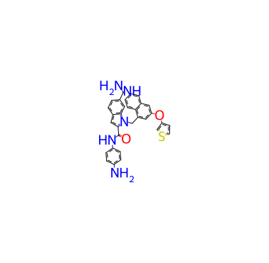 N=C(N)c1ccc2cc(C(=O)Nc3ccc(N)cc3)n(Cc3cc(Oc4ccsc4)cc4ccccc34)c2c1